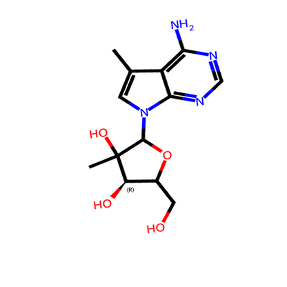 Cc1cn(C2OC(CO)[C@@H](O)C2(C)O)c2ncnc(N)c12